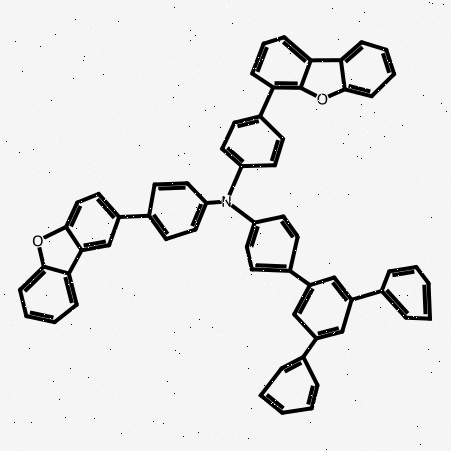 c1ccc(-c2cc(-c3ccccc3)cc(-c3ccc(N(c4ccc(-c5ccc6oc7ccccc7c6c5)cc4)c4ccc(-c5cccc6c5oc5ccccc56)cc4)cc3)c2)cc1